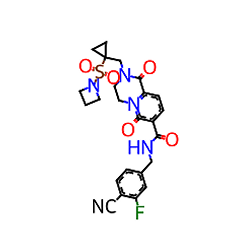 N#Cc1ccc(CNC(=O)c2ccc3n(c2=O)CCN(CC2(S(=O)(=O)N4CCC4)CC2)C3=O)cc1F